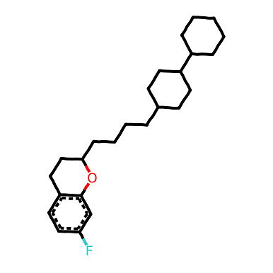 Fc1ccc2c(c1)OC(CCCCC1CCC(C3CCCCC3)CC1)CC2